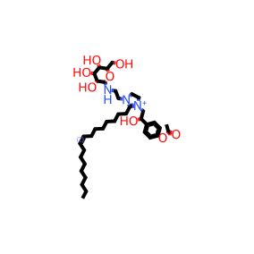 CC(=O)[O-].CCCCCCCC/C=C\CCCCCCCC1=[N+](CC(O)c2ccccc2)CCN1CCNC1OC(CO)C(O)C(O)C1O